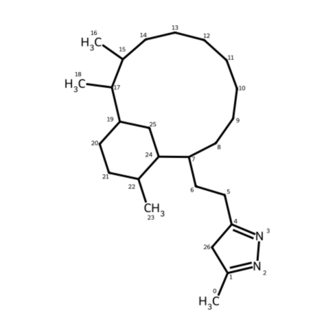 CC1=NN=C(CCC2CCCCCCCC(C)C(C)C3CCC(C)C2C3)C1